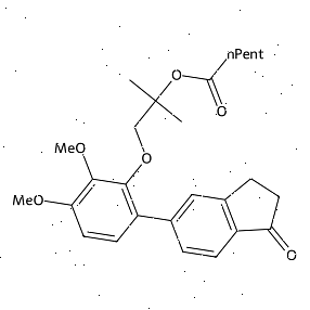 CCCCCC(=O)OC(C)(C)COc1c(-c2ccc3c(c2)CCC3=O)ccc(OC)c1OC